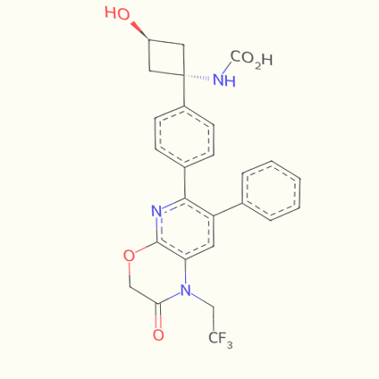 O=C(O)N[C@]1(c2ccc(-c3nc4c(cc3-c3ccccc3)N(CC(F)(F)F)C(=O)CO4)cc2)C[C@@H](O)C1